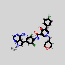 Cn1cc(-c2cc(F)c(NC(=O)c3cn(CC4CCOCC4)cc(-c4ccc(F)cc4)c3=O)c(F)c2)c2c(N)ncnc21